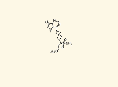 COCCN(C1CC2(C1)CN(C1=NC=NC3C(Cl)=CN(C)C13)C2)S(N)(=O)=O